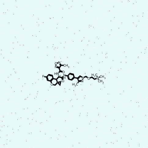 Cc1nn(COCC[Si](C)(C)C)cc1-c1ccc(NC(=O)[C@@H](NC(=O)c2nonc2C)C2c3ccc(F)cc3OCC23CC3)cc1